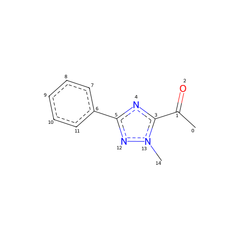 CC(=O)c1nc(-c2ccccc2)nn1C